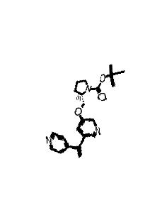 C=C(c1ccncc1)c1cncc(OC[C@@H]2CCCN2C(=O)OC(C)(C)C)c1